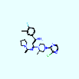 C=C(/N=C(\C=C(/N)c1ccc(F)c(C)c1)N1CCN(c2nccnc2Cl)C[C@H]1C)N1CCCC1